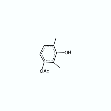 CC(=O)Oc1ccc(C)c(O)c1C